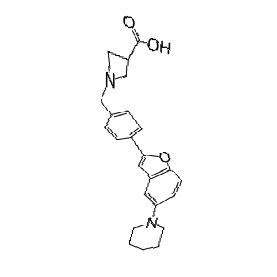 O=C(O)C1CN(Cc2ccc(-c3cc4cc(N5CCCCC5)ccc4o3)cc2)C1